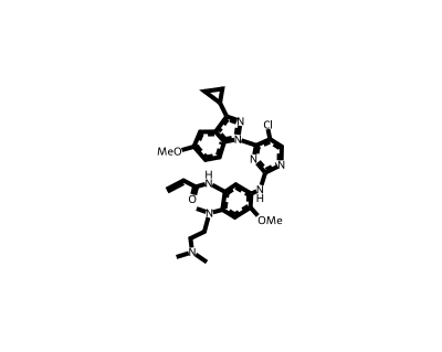 C=CC(=O)Nc1cc(Nc2ncc(Cl)c(-n3nc(C4CC4)c4cc(OC)ccc43)n2)c(OC)cc1N(C)CCN(C)C